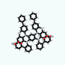 CC(C)(C)c1cc2c3c(c1)N(c1ccccc1-c1ccccc1)c1cc4c(cc1B3c1ccc(-c3ccccc3)cc1O2)B1c2ccc(-c3ccccc3)cc2Sc2cc(C(C)(C)C)cc(c21)N4c1ccccc1-c1ccccc1